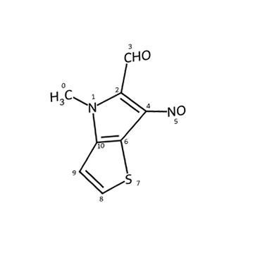 Cn1c(C=O)c(N=O)c2sccc21